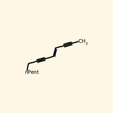 CC#CC=CC#CCCCCCC